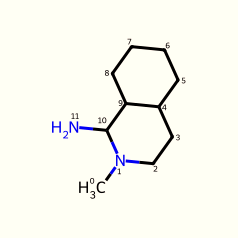 CN1CCC2CCCCC2C1N